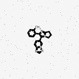 Cc1ccccc1-c1nc2n(c1-c1ccc3ncnn3c1)CCC2